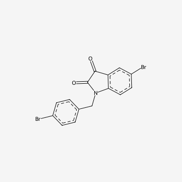 O=C1C(=O)N(Cc2ccc(Br)cc2)c2ccc(Br)cc21